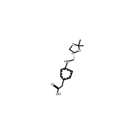 CC1(C)OC[C@@H](CNc2ccc(CC(=O)O)cc2)O1